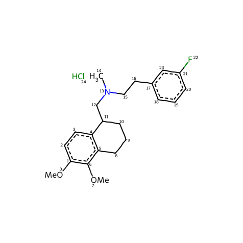 COc1ccc2c(c1OC)CCCC2CN(C)CCc1cccc(F)c1.Cl